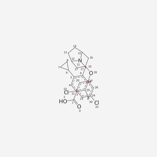 O=C(O)c1cc(C2CC2)c(CN2C3CCC2CC(Oc2cc(Cl)cc(Cl)c2)C3)cc1F